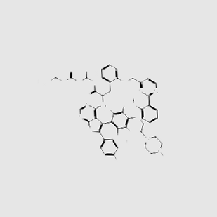 CCOC(=O)OC(C)OC(=O)C(Cc1ccccc1OCc1ccnc(-c2ccccc2OC)n1)Oc1ncnc2sc(-c3ccc(F)cc3)c(-c3c(C)c(Cl)c(OCCN4CCN(C)CC4)c(Cl)c3C)c12